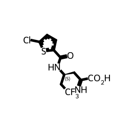 N=C(C[C@@H](CC(F)(F)F)NC(=O)c1ccc(Cl)s1)C(=O)O